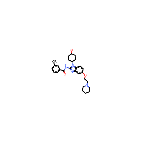 O=C(Nc1nc2cc(OCCN3CCCCC3)ccc2n1[C@H]1CC[C@H](O)CC1)c1cccc(C(F)(F)F)c1